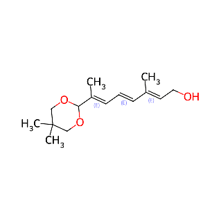 CC(/C=C/C=C(\C)C1OCC(C)(C)CO1)=C\CO